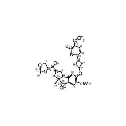 COc1ccc([C@@H]2CN(C(=O)[C@@H]3COC(C)(C)O3)C[C@@]2(C)[C@@H](C)O)cc1OC1CN(c2ccc(OC(F)(F)F)c(C)n2)C1